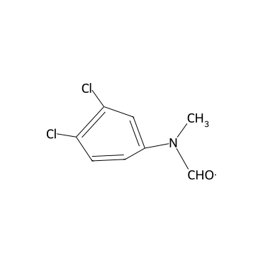 CN([C]=O)c1ccc(Cl)c(Cl)c1